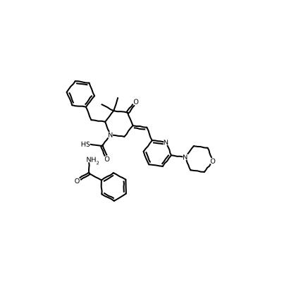 CC1(C)C(=O)/C(=C/c2cccc(N3CCOCC3)n2)CN(C(=O)S)C1Cc1ccccc1.NC(=O)c1ccccc1